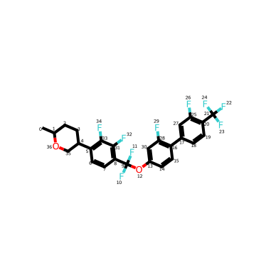 CC1CCC(c2ccc(C(F)(F)Oc3ccc(-c4ccc(C(F)(F)F)c(F)c4)c(F)c3)c(F)c2F)CO1